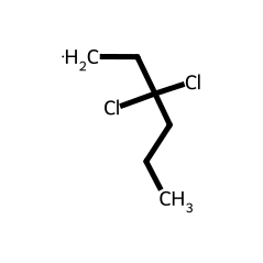 [CH2]CC(Cl)(Cl)CCC